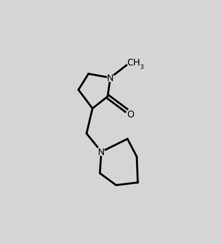 CN1CCC(CN2CCCCC2)C1=O